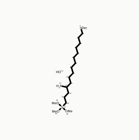 CCCCCCCCCCCCCCCCCCCCCC(N)CCC[Si](OC)(OC)OC.Cl